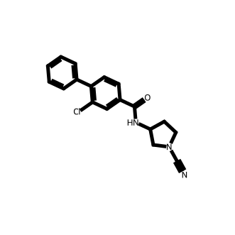 N#CN1CCC(NC(=O)c2ccc(-c3ccccc3)c(Cl)c2)C1